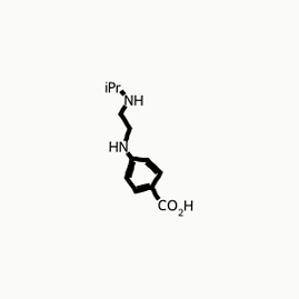 CC(C)NCCNc1ccc(C(=O)O)cc1